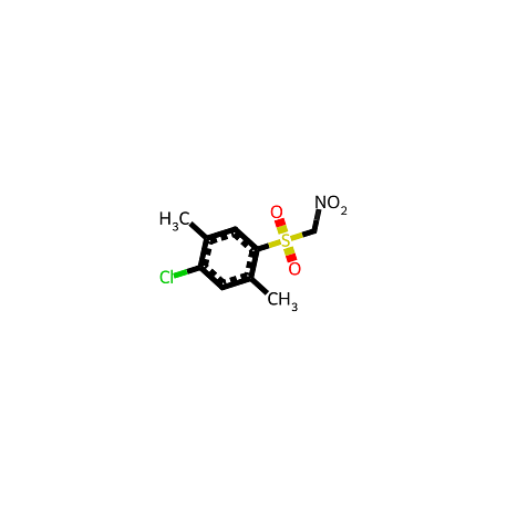 Cc1cc(S(=O)(=O)C[N+](=O)[O-])c(C)cc1Cl